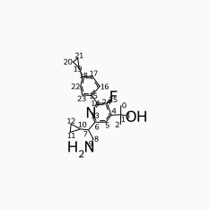 CC(C)(O)c1cc(C(CN)C2CC2)nc(-c2ccc(C3CC3)cc2)c1F